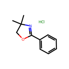 CC1(C)COC(c2ccccc2)=N1.Cl